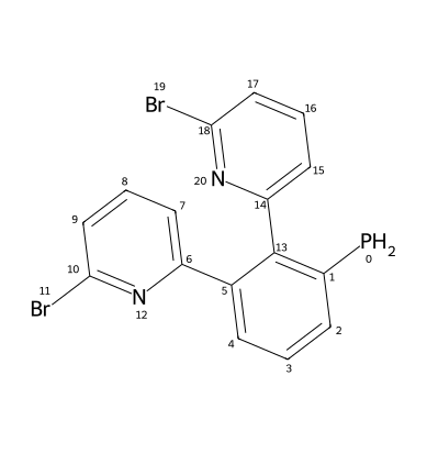 Pc1cccc(-c2cccc(Br)n2)c1-c1cccc(Br)n1